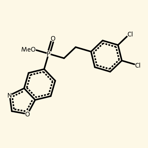 COP(=O)(CCc1ccc(Cl)c(Cl)c1)c1ccc2ocnc2c1